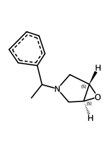 CC(c1ccccc1)N1C[C@@H]2O[C@H]2C1